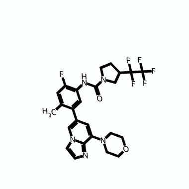 Cc1cc(F)c(NC(=O)N2CCC(C(F)(F)C(F)(F)F)C2)cc1-c1cc(N2CCOCC2)c2nccn2c1